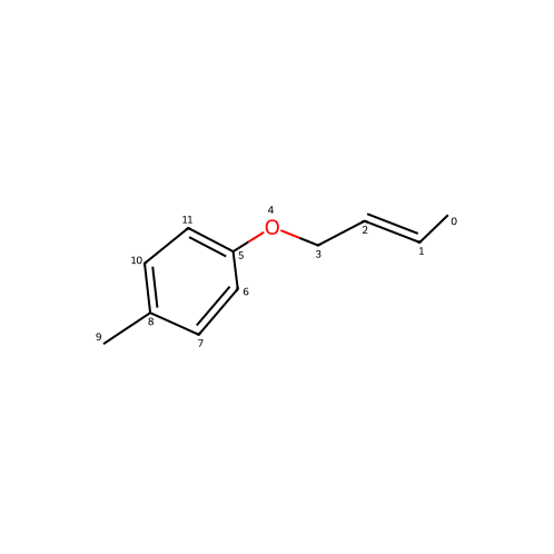 CC=CCOc1ccc(C)cc1